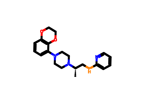 C[C@@H](CPc1ccccn1)N1CCN(c2cccc3c2OCCO3)CC1